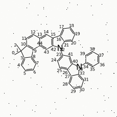 CC1(C)c2ccccc2-c2c1ccc1cc3c4ccccc4n(-c4ccc5c6ccccc6n(-c6ccccc6)c5c4)c3cc21